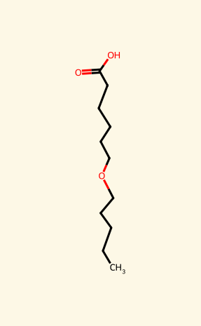 CCCCCOCCCCCC(=O)O